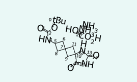 CC(C)(C)OC(=O)NC1CC2(C1)CC1(C2)NC(=O)NC1=O.N.N.O=C(O)O